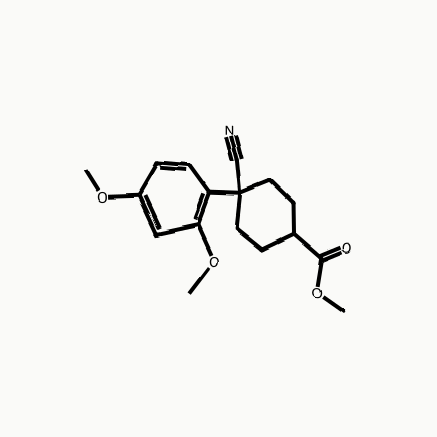 COC(=O)C1CCC(C#N)(c2ccc(OC)cc2OC)CC1